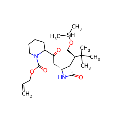 C=CCOC(=O)N1CCCCC1C(=O)C[C@H]1NC(=O)[C@H]1[C@@H](CO[SiH](C)C)C(C)(C)C